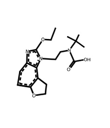 CCOc1nc2ccc3c(c2n1CCN(C(=O)O)C(C)(C)C)CCO3